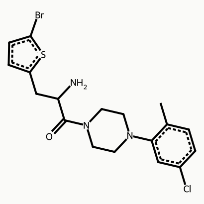 Cc1ccc(Cl)cc1N1CCN(C(=O)C(N)Cc2ccc(Br)s2)CC1